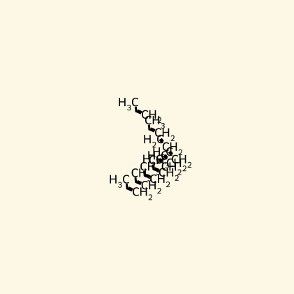 C=C.C=C.C=C.C=C.C=CC.C=CC.C=CC.C=CC.C=CC.C=CC